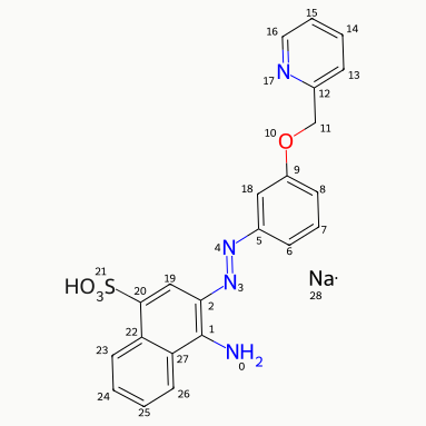 Nc1c(N=Nc2cccc(OCc3ccccn3)c2)cc(S(=O)(=O)O)c2ccccc12.[Na]